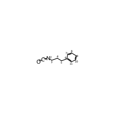 O=C=NCCCc1[c]cccc1